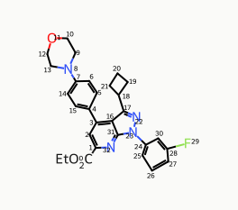 CCOC(=O)c1cc(-c2ccc(N3CCOCC3)cc2)c2c(C3CCC3)nn(-c3cccc(F)c3)c2n1